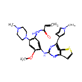 C=CC(=O)Nc1cc(Nc2nc(-c3ccn(C)c3)c3sccc3n2)c(OC)cc1N1CCN(C)CC1